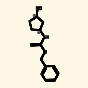 O=N[C@@H]1CC[C@H](NC(=O)OCc2ccccc2)C1